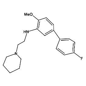 COc1ccc(-c2ccc(F)cc2)cc1NCCN1CCCCC1